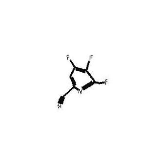 N#Cc1cc(F)c(F)c(F)n1